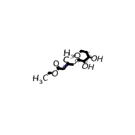 CCOC(=O)/C=C(\C)C[C@@H]1OC[CH][C@@H](O)[C@H]1O